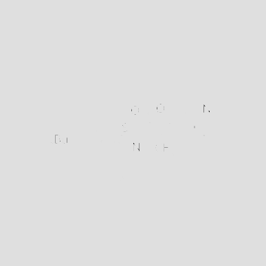 CC(C)(C)c1ccc2c(c1)c1ccccc1c1nc(-c3c(C(F)(F)F)c4cc5c6c(c4oc3=O)C(C)(C)CCN6CCC5(C)C)sc21